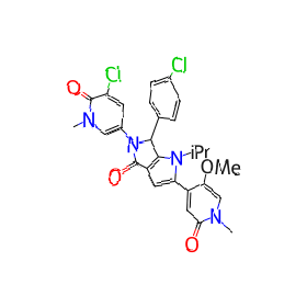 COc1cn(C)c(=O)cc1-c1cc2c(n1C(C)C)C(c1ccc(Cl)cc1)N(c1cc(Cl)c(=O)n(C)c1)C2=O